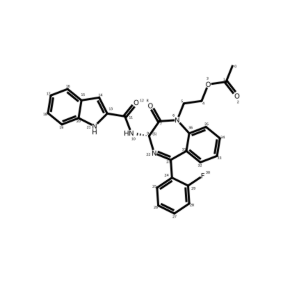 CC(=O)OCCN1C(=O)[C@@H](NC(=O)c2cc3ccccc3[nH]2)N=C(c2ccccc2F)c2ccccc21